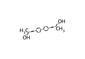 CC(C#Cc1ccc(-c2ccc(C#CC(C)=CCO)cc2)cc1)=CCO